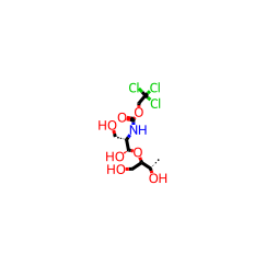 C[C@H](O)C(CO)O[C@H](O)[C@H](CO)NC(=O)OCC(Cl)(Cl)Cl